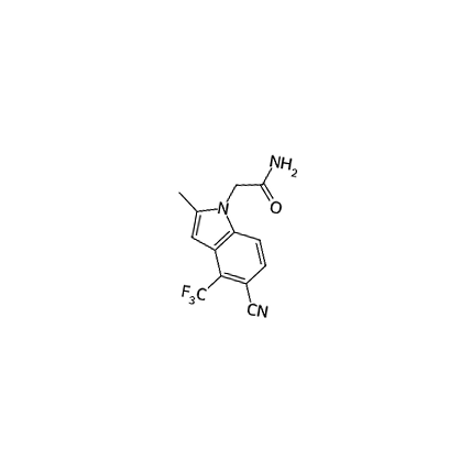 Cc1cc2c(C(F)(F)F)c(C#N)ccc2n1CC(N)=O